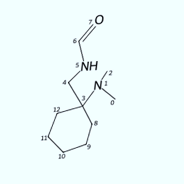 CN(C)C1(CNC=O)CCCCC1